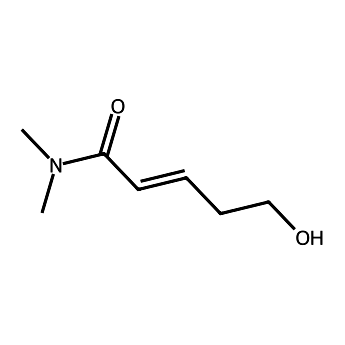 CN(C)C(=O)C=CCCO